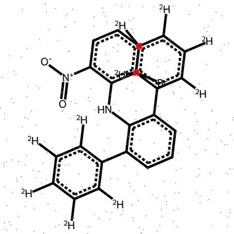 [2H]c1c([2H])c([2H])c(-c2cccc(-c3c([2H])c([2H])c([2H])c([2H])c3[2H])c2Nc2c(Br)cccc2[N+](=O)[O-])c([2H])c1[2H]